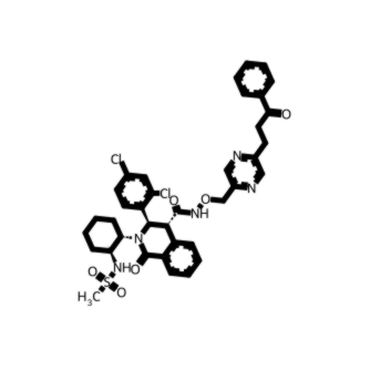 CS(=O)(=O)N[C@H]1CCCC[C@@H]1N1C(=O)c2ccccc2[C@@H](C(=O)NOCc2cnc(CCC(=O)c3ccccc3)cn2)[C@@H]1c1ccc(Cl)cc1Cl